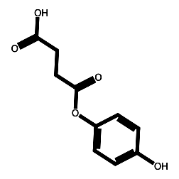 O=C(O)CCC(=O)Oc1ccc(O)cc1